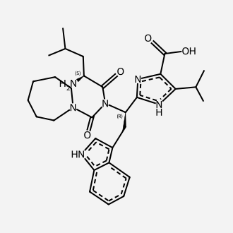 CC(C)C[C@H](N)C(=O)N(C(=O)N1CCCCCC1)[C@H](Cc1c[nH]c2ccccc12)c1nc(C(=O)O)c(C(C)C)[nH]1